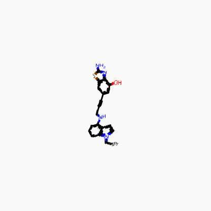 CC(C)Cn1ccc2c(NCC#Cc3cc(O)c4nc(N)sc4c3)cccc21